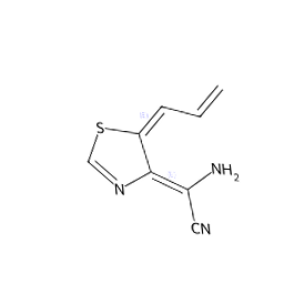 C=C/C=c1/scn/c1=C(/N)C#N